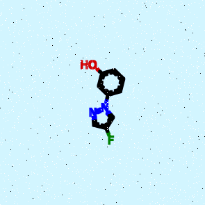 Oc1cccc(-n2cc(F)cn2)c1